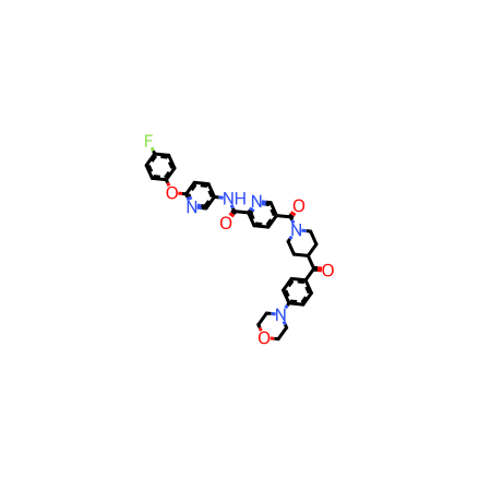 O=C(Nc1ccc(Oc2ccc(F)cc2)nc1)c1ccc(C(=O)N2CCC(C(=O)c3ccc(N4CCOCC4)cc3)CC2)cn1